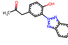 CC(=O)Cc1ccc(O)c(-n2nc3ccccc3n2)c1